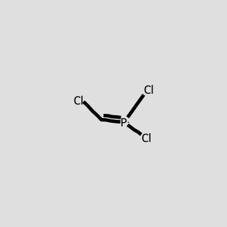 ClC=[P](Cl)Cl